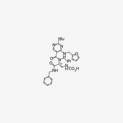 CC(C)CN(C(=O)c1cnc(C(C)(C)C)nc1NCc1ccco1)[C@@H](CNC(=O)O)C(=O)NCc1ccccc1